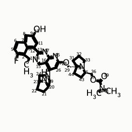 CCc1c(F)ccc2cc(O)cc(-c3ncc4c(N5CC6CCC(C5)N6)cc(OC[C@]56CCCN5[C@@H](COC(=O)N(C)C)CC6)nc4n3)c12